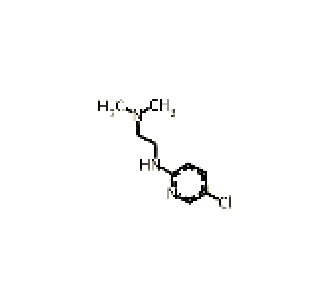 CN(C)CCNc1ccc(Cl)cn1